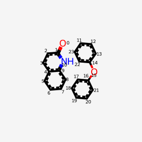 O=c1ccc2ccccc2[nH]1.c1ccc(Oc2ccccc2)cc1